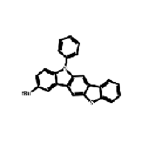 CC(C)(C)c1ccc2c(c1)c1cc3sc4ccccc4c3cc1n2-c1ccccc1